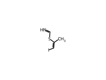 C/C(=C/I)SC=N